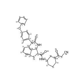 Cc1cc(Oc2ccccc2)ccc1N1C(=O)NC2c3c1ccnc3S[C@@H]2C(=O)NC1CCCN(C(=O)CC#N)C1